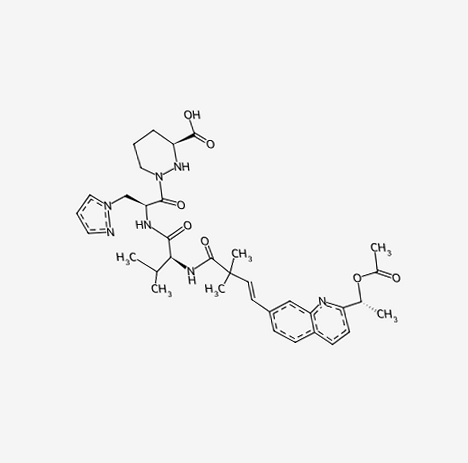 CC(=O)O[C@H](C)c1ccc2ccc(C=CC(C)(C)C(=O)N[C@H](C(=O)N[C@@H](Cn3cccn3)C(=O)N3CCC[C@@H](C(=O)O)N3)C(C)C)cc2n1